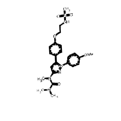 COc1ccc(-n2nc(N(C)C(=O)N(C)C)cc2-c2ccc(OCCNS(C)(=O)=O)cc2)cc1